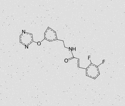 O=C(C=Cc1cccc(F)c1F)NCCc1cccc(Oc2cnccn2)c1